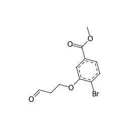 COC(=O)c1ccc(Br)c(OCCC=O)c1